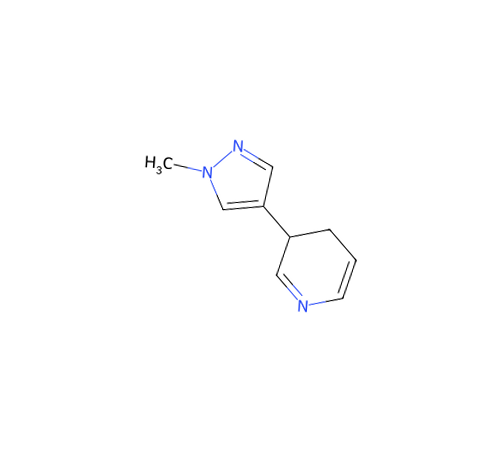 Cn1cc(C2C=NC=CC2)cn1